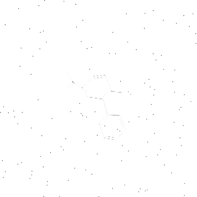 CC(C)(C)C(=O)c1ccc(C#N)c(-c2ccccc2)c1